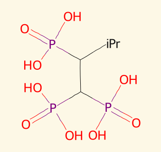 CC(C)C(C(P(=O)(O)O)P(=O)(O)O)P(=O)(O)O